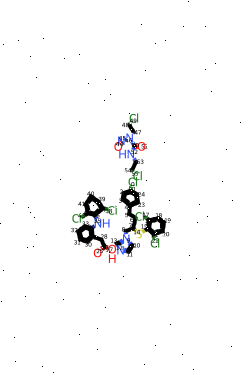 Clc1ccc(CCC(Cn2ccnc2)Sc2c(Cl)cccc2Cl)cc1.O=C(O)Cc1ccccc1Nc1c(Cl)cccc1Cl.O=NN(CCCl)C(=O)NCCCl